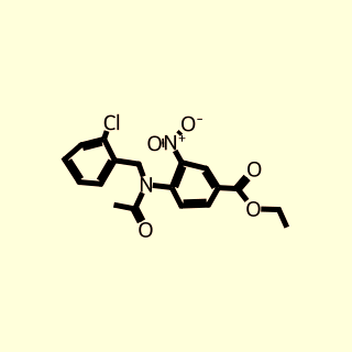 CCOC(=O)c1ccc(N(Cc2ccccc2Cl)C(C)=O)c([N+](=O)[O-])c1